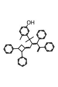 C=C(/C(=C(\C=C1/CC(c2ccccc2)C1c1ccccc1)C(C)(C)c1cc(O)ccc1C)c1ccccc1)c1ccccc1